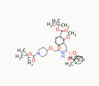 COc1c(CC(NC(=O)COC2CCN(C(=O)OC(C)(C)C)CC2)B2OC3CC4CC(C4(C)C)C3(C)O2)cccc1C(=O)OC(C)(C)C